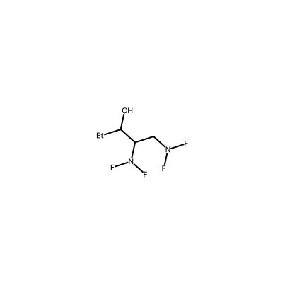 CCC(O)C(CN(F)F)N(F)F